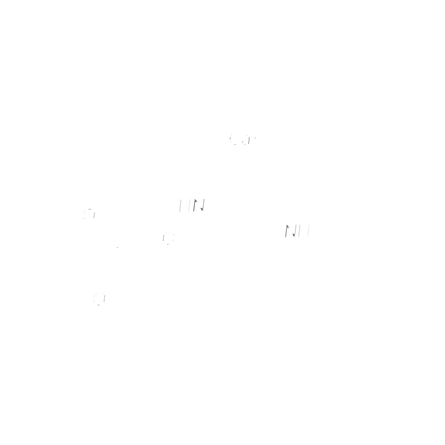 C1CNCCN1.O=C([O-])[O-].[Ca+2]